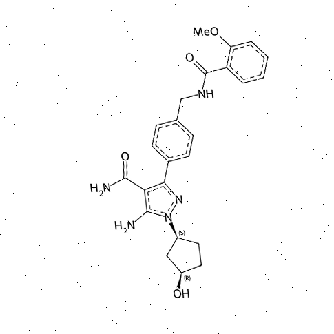 COc1ccccc1C(=O)NCc1ccc(-c2nn([C@H]3CC[C@@H](O)C3)c(N)c2C(N)=O)cc1